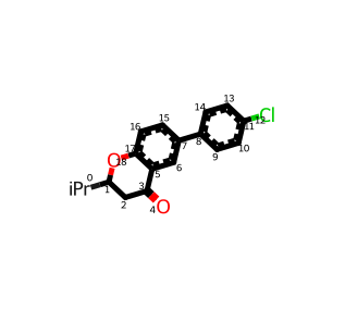 CC(C)C1CC(=O)c2cc(-c3ccc(Cl)cc3)ccc2O1